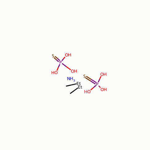 CCC.CCC.N.OP(O)(O)=S.OP(O)(O)=S